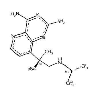 CCCC[C@@](C)(CN[C@@H](C)C(F)(F)F)c1ccnc2c(N)nc(N)nc12